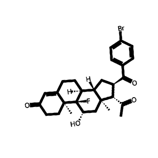 CC(=O)[C@H]1[C@H](C(=O)c2ccc(Br)cc2)C[C@H]2[C@@H]3CCC4=CC(=O)CC[C@]4(C)[C@@]3(F)[C@@H](O)C[C@@]21C